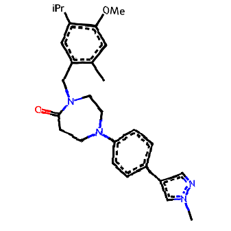 COc1cc(C)c(CN2CCN(c3ccc(-c4cnn(C)c4)cc3)CCC2=O)cc1C(C)C